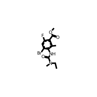 CCN(C)C(=O)Nc1c(Br)cc(F)c(C(=O)OC)c1C